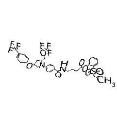 CCS(=O)(=O)c1ccccc1OC(=O)CCCNC(=O)c1ccc(N2C[C@@H](Oc3ccc(C(F)(F)F)cc3)C[C@H]2COC(F)(F)F)cc1